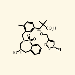 CC[C@@H]1Cc2ccccc2S(=O)(=O)N(Cc2cc([C@@H](OCc3cn(CC)nn3)C(C)(C)C(=O)O)ccc2C)C1